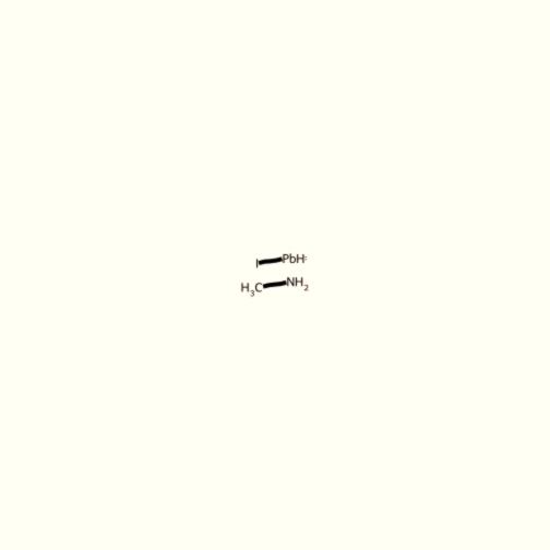 CN.[I][PbH]